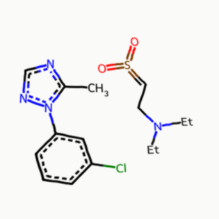 CCN(CC)CC=S(=O)=O.Cc1ncnn1-c1cccc(Cl)c1